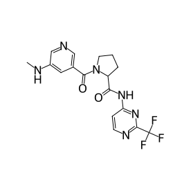 CNc1cncc(C(=O)N2CCCC2C(=O)Nc2ccnc(C(F)(F)F)n2)c1